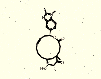 Cc1nc2cc([C@@H]3C/C=C\CCC[C@@H]4CC(C)(CCC(=O)O3)C(=O)[C@H](C)[C@H]4O)ccc2n1C